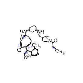 C/C=C/C(=O)N1CCC(CN[C@H]2CCC[C@@H](N/C3=N/C=C(Cl)\C(C(=C\CCC)\c4ccccc4C)=C/CC3)C2)CC1